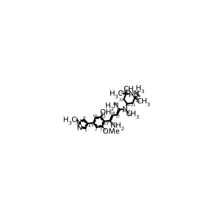 COc1cc(-c2cnn(C)c2)cc(O)c1/C(N)=C/C=C(\N)N(C)C1CC(C)(C)NC(C)(C)C1